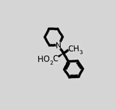 C[C@](C(=O)O)(c1ccccc1)N1CCCCC1